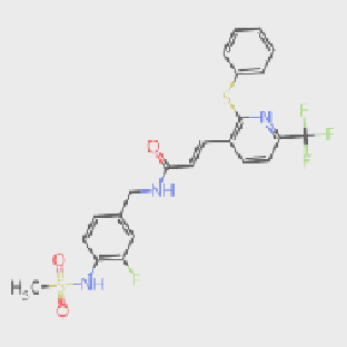 CS(=O)(=O)Nc1ccc(CNC(=O)/C=C/c2ccc(C(F)(F)F)nc2Sc2ccccc2)cc1F